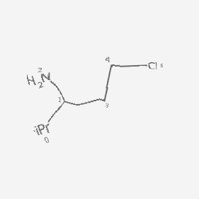 C[C](C)C(N)CCCl